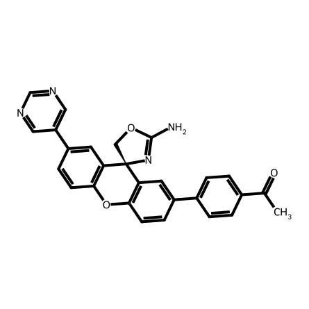 CC(=O)c1ccc(-c2ccc3c(c2)[C@]2(COC(N)=N2)c2cc(-c4cncnc4)ccc2O3)cc1